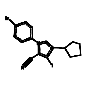 N#Cc1c(I)c(C2CCCC2)cn1-c1ccc(Br)cc1